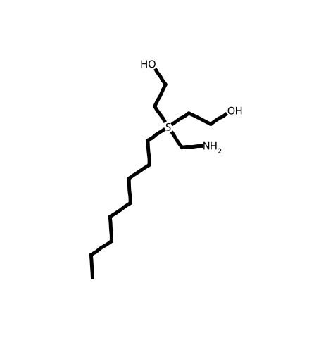 CCCCCCCCS(CN)(CCO)CCO